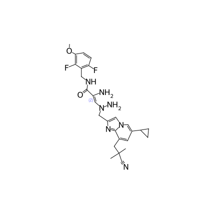 COc1ccc(F)c(CNC(=O)/C(N)=C/N(N)Cc2cn3cc(C4CC4)cc(CC(C)(C)C#N)c3n2)c1F